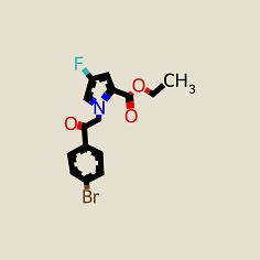 CCOC(=O)c1cc(F)cn1CC(=O)c1ccc(Br)cc1